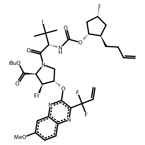 C=CCC[C@@H]1C[C@@H](C)C[C@H]1OC(=O)N[C@H](C(=O)N1C[C@H](Oc2nc3cc(OC)ccc3nc2C(F)(F)C=C)[C@@H](CC)[C@H]1C(=O)OCC(C)C)C(C)(C)I